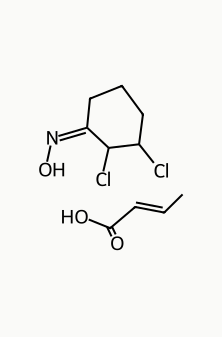 C/C=C/C(=O)O.O/N=C1/CCCC(Cl)C1Cl